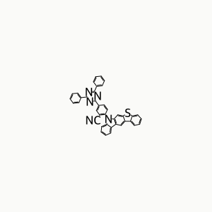 N#Cc1cc(-c2nc(-c3ccccc3)nc(-c3ccccc3)n2)ccc1-n1c2ccccc2c2cc3c(cc21)sc1ccccc13